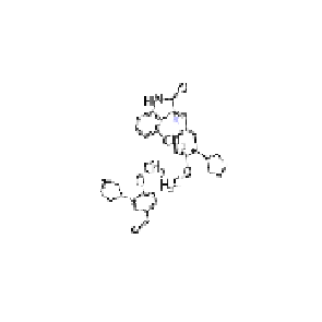 COc1ccc(/C=C2/C(=O)Nc3cccc(C)c32)cc1C1CCCC1.COc1ccc(C=O)cc1C1CCCC1